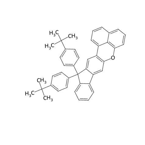 CC(C)(C)c1ccc(C2(c3ccc(C(C)(C)C)cc3)c3ccccc3-c3cc4c(cc32)-c2cccc3cccc(c23)O4)cc1